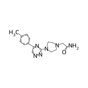 Cc1ccc(-c2cnnc(N3CCN(CC(N)=O)CC3)n2)cc1